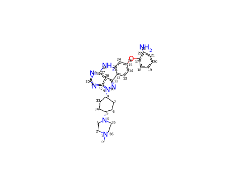 CN1CCN([C@H]2CC[C@@H](n3nc(-c4ccc(Oc5ccccc5N)cc4)c4c(N)ncnc43)CC2)CC1